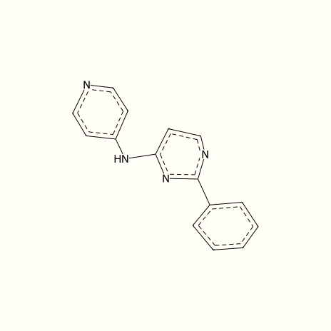 c1ccc(-c2nccc(Nc3ccncc3)n2)cc1